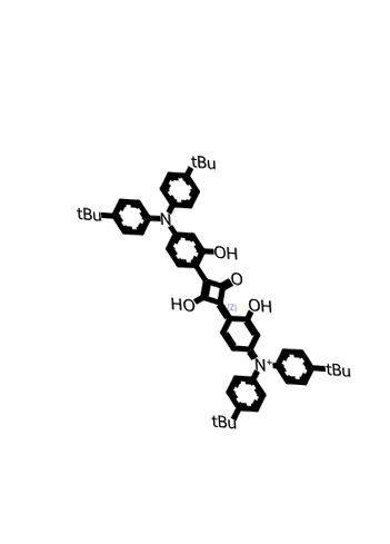 CC(C)(C)c1ccc(N(c2ccc(C(C)(C)C)cc2)c2ccc(C3=C(O)/C(=C4\C=CC(=[N+](c5ccc(C(C)(C)C)cc5)c5ccc(C(C)(C)C)cc5)C=C4O)C3=O)c(O)c2)cc1